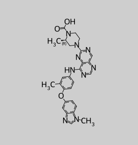 Cc1cc(Nc2ncnc3cnc(N4CCN(C(=O)O)[C@H](C)C4)nc23)ccc1Oc1ccc2c(c1)ncn2C